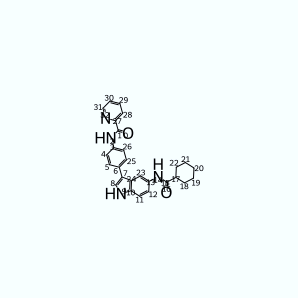 O=C(Nc1ccc(-c2c[nH]c3ccc(NC(=O)C4CCCCC4)cc23)cc1)c1ccccn1